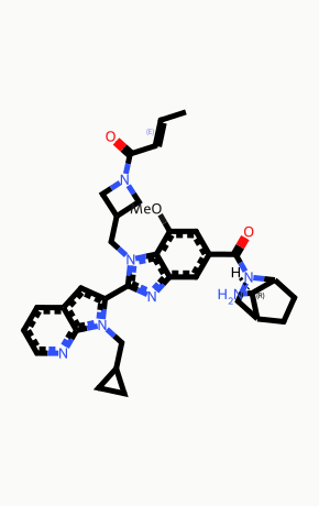 C/C=C/C(=O)N1CC(Cn2c(-c3cc4cccnc4n3CC3CC3)nc3cc(C(=O)N4CC5CCC4[C@@H]5N)cc(OC)c32)C1